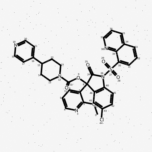 COc1ncccc1C1(OC(=O)N2CCC(c3ccncc3)CC2)C(=O)N(S(=O)(=O)c2cccc3cccnc23)c2ccc(Cl)cc21